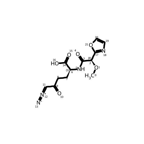 CO[C@@H](C(=O)N[C@@H](CCC(=O)C=[N+]=[N-])C(=O)O)c1ncco1